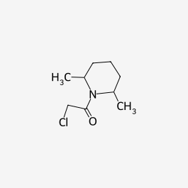 CC1CCCC(C)N1C(=O)CCl